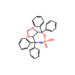 O=P1(O)NC(c2ccccc2)(c2ccccc2)C2OCOC2C(c2ccccc2)(c2ccccc2)O1